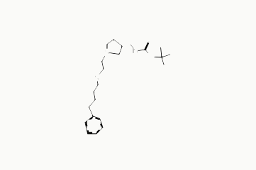 CC(C)(C)OC(=O)NC[C@H]1CCN(CCNCCCCc2ccccc2)C1